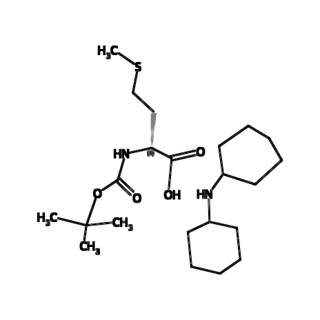 C1CCC(NC2CCCCC2)CC1.CSCC[C@@H](NC(=O)OC(C)(C)C)C(=O)O